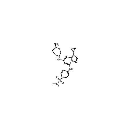 CN(C)S(=O)(=O)c1ccc(Nc2cc(N[C@H]3CC[C@H](N)CC3)nc3c(C4CC4)cnn23)cc1